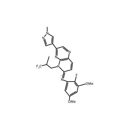 COc1cc(/N=c2\ccc3ncc(-c4cnn(C)c4)nc3n2CC(C)C(F)(F)F)c(F)c(OC)c1